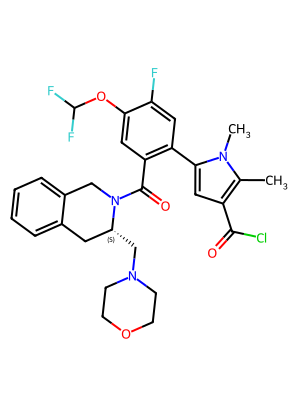 Cc1c(C(=O)Cl)cc(-c2cc(F)c(OC(F)F)cc2C(=O)N2Cc3ccccc3C[C@H]2CN2CCOCC2)n1C